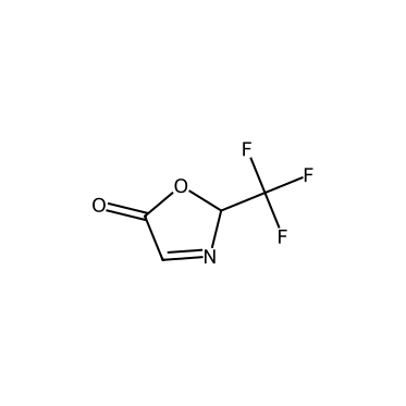 O=C1C=NC(C(F)(F)F)O1